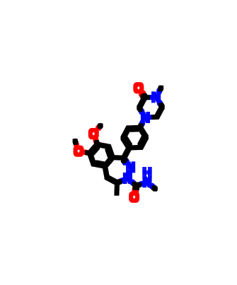 CNC(=O)N1N=C(c2ccc(N3CCN(C)C(=O)C3)cc2)c2cc(OC)c(OC)cc2CC1C